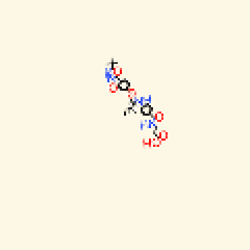 CC[C@H](C)[C@@H](COc1ccc(-c2nnc(C(C)(C)C)o2)c(OC)c1)Nc1ccc(C(=O)NCCC(=O)O)cc1